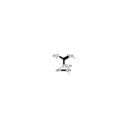 C=C(C)C(=O)O.[CH2]CCO